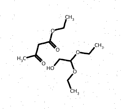 CCOC(=O)CC(C)=O.CCOC(CO)OCC